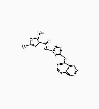 Cc1cc(C(=O)Nc2nnc(Sc3ccnc4ccccc34)s2)c(C)o1